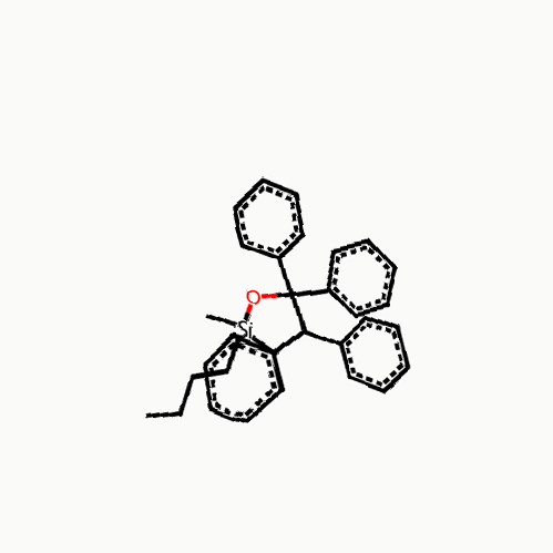 CCCC[Si](C)(C)OC(c1ccccc1)(c1ccccc1)C(c1ccccc1)c1ccccc1